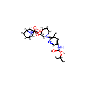 Cc1cc(NC(=O)OC(C)C)cnc1N1CCCC(OC(=O)N2C3CCC2CC(O)C3)C1